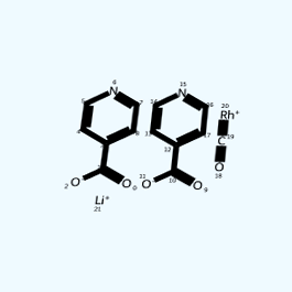 O=C([O-])c1ccncc1.O=C([O-])c1ccncc1.O=[C]=[Rh+].[Li+]